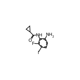 Nc1ccc(I)c(F)c1NC(=O)C1CC1